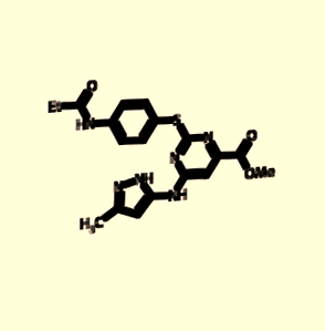 CCC(=O)Nc1ccc(Sc2nc(Nc3cc(C)n[nH]3)cc(C(=O)OC)n2)cc1